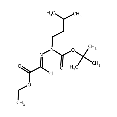 CCOC(=O)C(Cl)=NN(CCC(C)C)C(=O)OC(C)(C)C